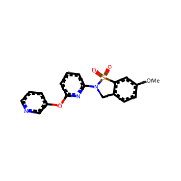 COc1ccc2c(c1)S(=O)(=O)N(c1cccc(Oc3cccnc3)n1)C2